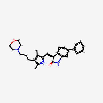 Cc1[nH]c(C=C2C(=O)Nc3cc(-c4ccccc4)ccc32)c(C)c1CCCN1CCOCC1